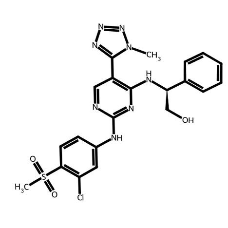 Cn1nnnc1-c1cnc(Nc2ccc(S(C)(=O)=O)c(Cl)c2)nc1N[C@H](CO)c1ccccc1